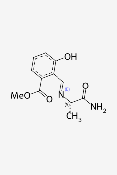 COC(=O)c1cccc(O)c1/C=N/[C@@H](C)C(N)=O